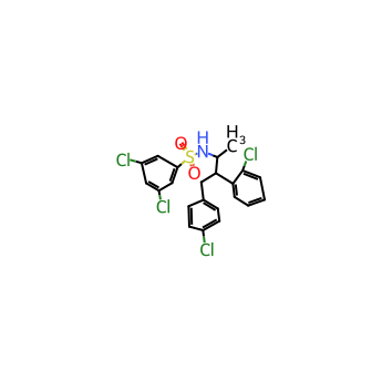 CC(NS(=O)(=O)c1cc(Cl)cc(Cl)c1)C(Cc1ccc(Cl)cc1)c1ccccc1Cl